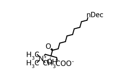 CCCCCCCCCCCCCCCCCCCC(=O)[C@@](O)(CC(=O)[O-])C[N+](C)(C)C